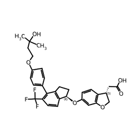 CC(C)(O)CCOc1ccc(-c2c(C(F)(F)F)ccc3c2CC[C@H]3Oc2ccc3c(c2)OC[C@H]3CC(=O)O)cc1